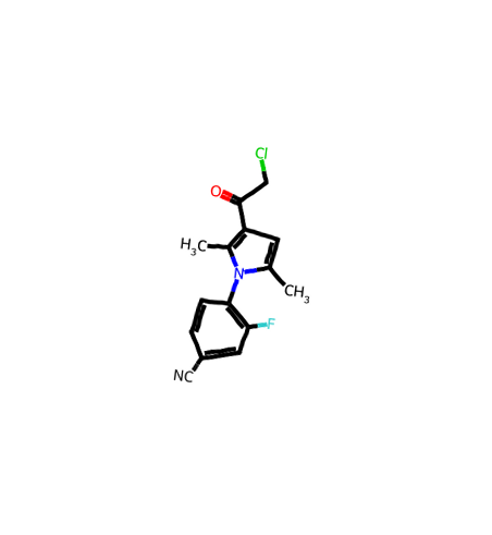 Cc1cc(C(=O)CCl)c(C)n1-c1ccc(C#N)cc1F